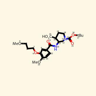 COCCCOc1cc(C(=O)NC2CN(C(=O)OC(C)(C)C)CCC2C(=O)O)ccc1OC